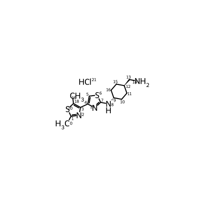 Cc1nc(-c2csc(N[C@H]3CC[C@H](CN)CC3)n2)c(C)s1.Cl